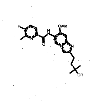 COc1cc2nc(CCC(C)(C)O)cn2cc1NC(=O)c1ccc(F)c(C)n1